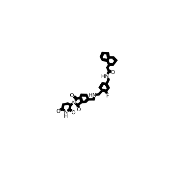 O=C(Cc1cccc2ccccc12)NCc1ccc(CNCc2ccc3c(c2)C(=O)N(C2CCC(=O)NC2=O)C3=O)c(F)c1